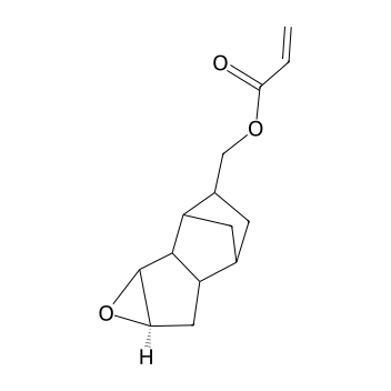 C=CC(=O)OCC1CC2CC1C1C2C[C@H]2OC12